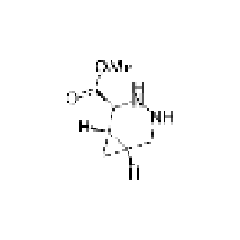 COC(=O)[C@H]1NNC[C@@H]2C[C@@H]21